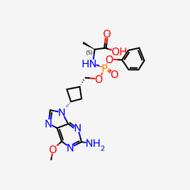 COc1nc(N)nc2c1ncn2[C@H]1C[C@@H](COP(=O)(N[C@@H](C)C(=O)O)Oc2ccccc2)C1